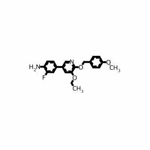 CCOc1cc(-c2ccc(N)c(F)c2)cnc1OCc1ccc(OC)cc1